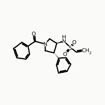 C=CS(=O)(=O)N[C@@H]1CN(C(=O)c2ccccc2)C[C@H]1c1ccccc1